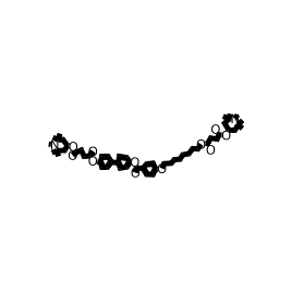 CN1C(C)(C)CC(OC(=O)CCC(=O)OCCCCCCCCOc2ccc(C(=O)Oc3ccc(-c4ccc(OC(=O)CCC(=O)OC5CC(C)(C)N(C)C(C)(C)C5)cc4)cc3)cc2)CC1(C)C